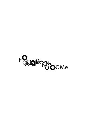 CCOC(=O)C(C)(Cc1ccc(OCCC2CN(Cc3cccc(OC)c3)C(=O)N2C)cc1)Oc1ccccc1F